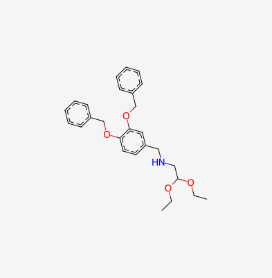 CCOC(CNCc1ccc(OCc2ccccc2)c(OCc2ccccc2)c1)OCC